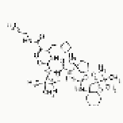 C=CCNC(=O)C(=O)C(CC1CCC1)NC(=O)[C@@H]1C2[C@H](CN1C(=O)[C@@H](NC(=O)NC1(CS(=O)(=O)C(C)(C)C)CCCCC1)C1(C)CCCC1)C2(C)C